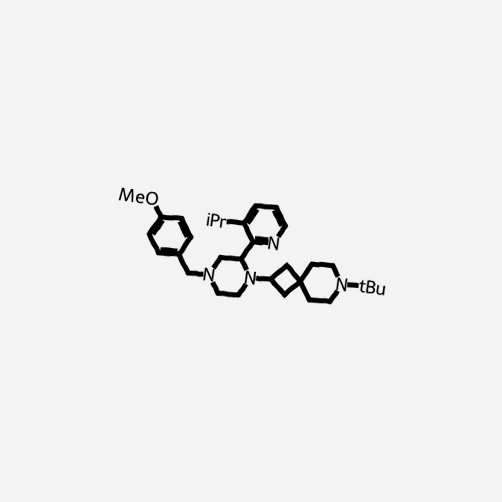 COc1ccc(CN2CCN(C3CC4(CCN(C(C)(C)C)CC4)C3)C(c3ncccc3C(C)C)C2)cc1